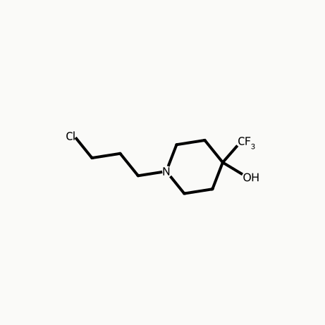 OC1(C(F)(F)F)CCN(CCCCl)CC1